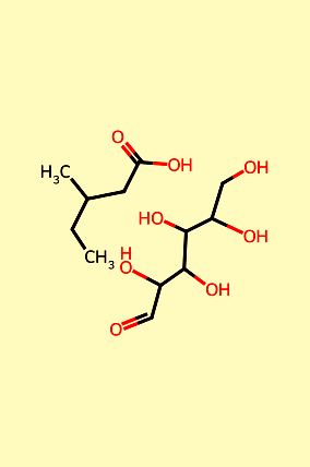 CCC(C)CC(=O)O.O=CC(O)C(O)C(O)C(O)CO